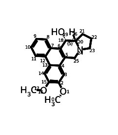 COc1cc2c3c(c4ccccc4c2cc1OC)[C@H](O)[C@@H]1CCCN1C3